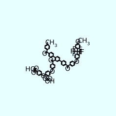 COc1ccc(C(c2ccc(Oc3ccc(C(=O)c4ccc(-c5ccc(-c6ccc(C(=O)c7ccc(C)cc7)cc6)c(C(=O)c6ccc(Oc7ccc(Oc8ccc(S(=O)(=O)O)cc8)c(S(=O)(=O)O)c7)cc6)c5)cc4)cc3)cc2)(C(F)(F)F)C(F)(F)F)cc1